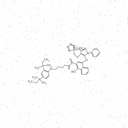 CCC1(SCc2c(C)nn(-c3ccccc3)c2Oc2cc(C(=O)NCCCCOc3ccc(C(C)(C)CC)cc3C(C)(C)CC)c(O)c3ccccc23)N=NN=N1